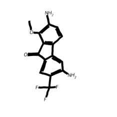 COc1c(N)ccc2c1C(=O)c1cc(C(F)(F)F)c(N)cc1-2